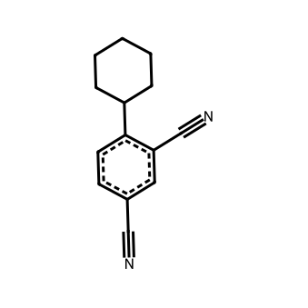 N#Cc1ccc(C2CCCCC2)c(C#N)c1